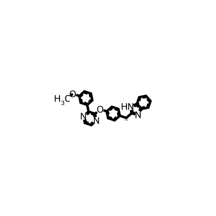 COc1cccc(-c2nccnc2Oc2ccc([C]c3nc4ccccc4[nH]3)cc2)c1